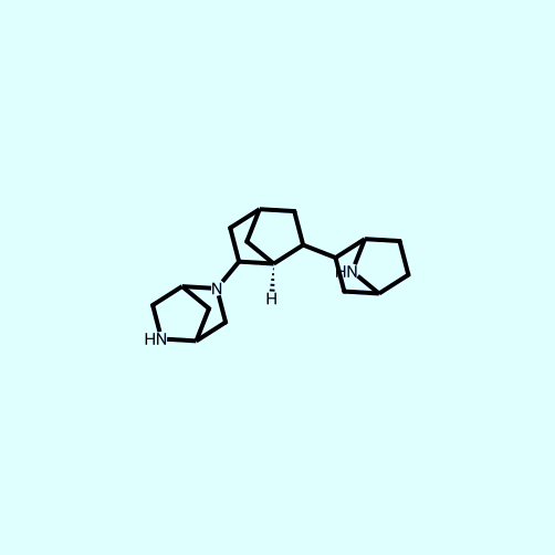 C1CC2NC1CC2C1CC2CC(N3CC4CC3CN4)[C@H]1C2